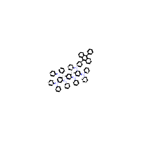 c1ccc(-c2c3ccccc3c(-c3ccc(N4c5ccccc5B5c6cc7c(cc6N(c6ccccc6)c6cc(N(c8ccccc8)c8ccccc8)cc4c65)N(c4ccccc4)c4cc(N(c5ccccc5)c5ccccc5)cc5c4B7c4ccccc4N5c4ccccc4)cc3)c3ccccc23)cc1